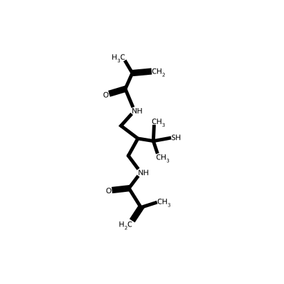 C=C(C)C(=O)NCC(CNC(=O)C(=C)C)C(C)(C)S